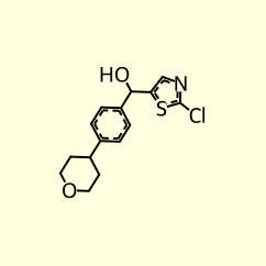 OC(c1ccc(C2CCOCC2)cc1)c1cnc(Cl)s1